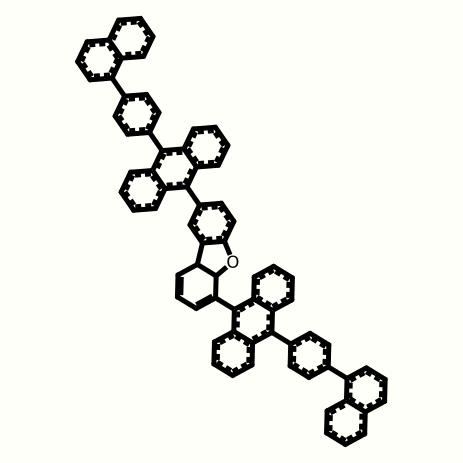 C1=CC2c3cc(-c4c5ccccc5c(-c5ccc(-c6cccc7ccccc67)cc5)c5ccccc45)ccc3OC2C(c2c3ccccc3c(-c3ccc(-c4cccc5ccccc45)cc3)c3ccccc23)=C1